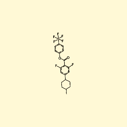 CC1CCC(c2cc(F)c(C(=O)Oc3ccc(S(F)(F)(F)(F)F)cc3)c(F)c2)CC1